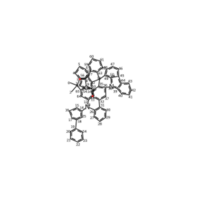 CC1(C)c2ccccc2-c2ccc(N(c3cccc(-c4ccccc4)c3)c3ccccc3-c3ccc4c(c3)-n3c5ccccc5c5cccc(c53)C43c4ccccc4-c4ccccc43)cc21